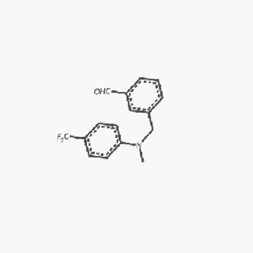 CN(Cc1cccc(C=O)c1)c1ccc(C(F)(F)F)cc1